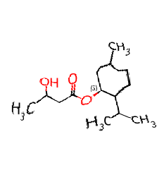 CC(O)CC(=O)O[C@H]1CC(C)CCC1C(C)C